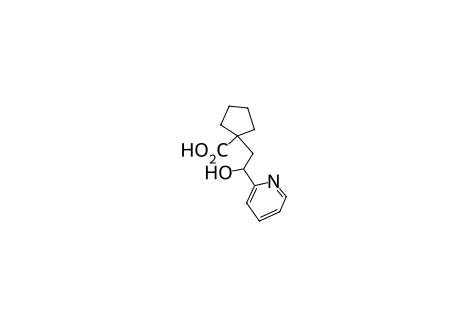 O=C(O)C1(CC(O)c2ccccn2)CCCC1